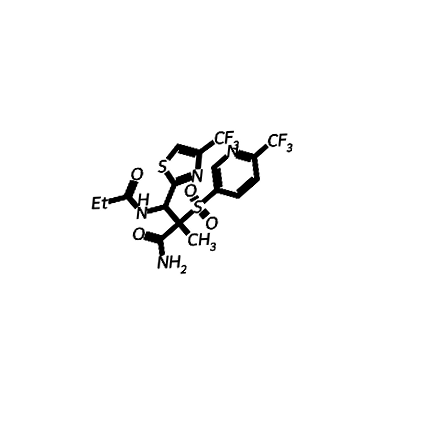 CCC(=O)NC(c1nc(C(F)(F)F)cs1)C(C)(C(N)=O)S(=O)(=O)c1ccc(C(F)(F)F)nc1